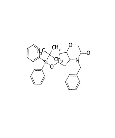 CC(C)(C)[Si](OC1CC2OCC(=O)N(Cc3ccccc3)C2C1)(c1ccccc1)c1ccccc1